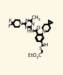 CCOC(=O)CSNc1ccc(C(=O)Nc2nc(C)nc(N3CCC(F)(F)CC3)n2)c(N2CCC3(CC2)CC3)c1